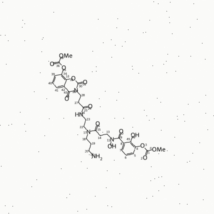 COC(=O)Oc1cccc(C(=O)N(O)CCC(=O)N(CCCN)CCNC(=O)CCn2c(=O)oc3c(OC(=O)OC)cccc3c2=O)c1O